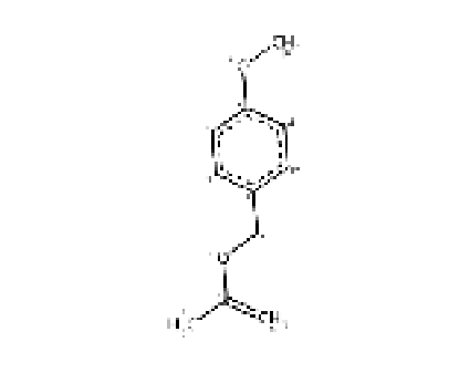 C=C(C)OCc1ccc(OC)cc1